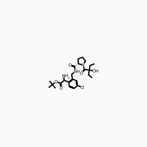 CCC(O)(CC)C(=O)N1CCC[C@H]1C(=O)NCc1cc(Cl)ccc1C(N)C(=O)OC(C)(C)C